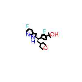 CC(C)(O)c1ccc([C@@H](CC2CCOCC2)c2cc3cc(F)cnc3[nH]2)cc1F